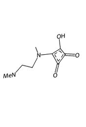 CNCCN(C)c1c(O)c(=O)c1=O